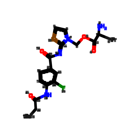 CC(C)C(N)C(=O)OCn1ccsc1=NC(=O)c1ccc(NC(=O)CC(C)(C)C)c(F)c1